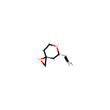 C=C[C@@H]1C[C@@]2(CCO1)CO2